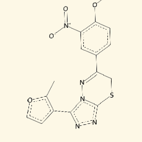 COc1ccc(C2=Nn3c(nnc3-c3ccoc3C)SC2)cc1[N+](=O)[O-]